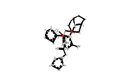 Cc1nnc(C(C)C)n1C1CC2CCC(C1)N2CC[C@H](NC(=O)Cn1ncnn1)c1cccs1